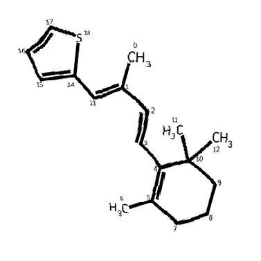 CC(C=CC1=C(C)CCCC1(C)C)=Cc1cccs1